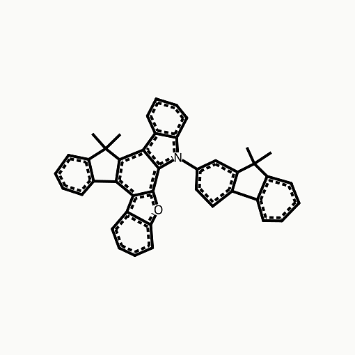 CC1(C)c2ccccc2-c2ccc(-n3c4ccccc4c4c5c(c6c7ccccc7oc6c43)-c3ccccc3C5(C)C)cc21